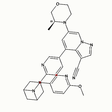 COc1ccc(CN2C3CC2CN(c2ccc(-c4cc(N5CCOC[C@@H]5C)cn5ncc(C#N)c45)cn2)C3)cn1